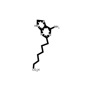 Nc1nc(CCCCCCC(=O)O)nc2[nH]cnc12